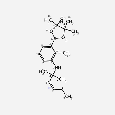 CC/C=N\C(C)(C)Nc1cccc(B2OC(C)(C)C(C)(C)O2)c1C